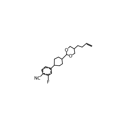 C=CCCC1COC(C2CCC(c3ccc(C#N)c(F)c3)CC2)OC1